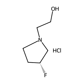 Cl.OCCN1CC[C@@H](F)C1